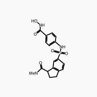 CNC(=O)C1CCc2ccc(S(=O)(=O)Nc3ccc(C(=O)NO)cc3)cc21